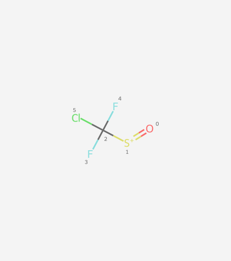 O=[S+]C(F)(F)Cl